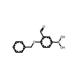 O=Cc1cc(B(O)O)ccc1OCc1ccccc1